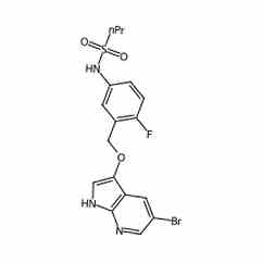 CCCS(=O)(=O)Nc1ccc(F)c(COc2c[nH]c3ncc(Br)cc23)c1